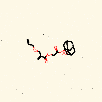 C=CCOCC(=C)C(=O)OCC(=O)OC12CC3CC(C1)C(=O)C(C3)C2